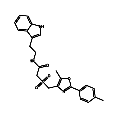 Cc1ccc(-c2nc(CS(=O)(=O)CC(=O)NCCc3c[nH]c4ccccc34)c(C)o2)cc1